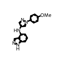 COc1ccc(-n2cc(Nc3cccc4[nH]ncc34)cn2)cc1